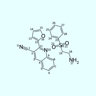 N#Cc1cc2ccccc2nc1-c1ccco1.NCCS(=O)(=O)c1ccccc1